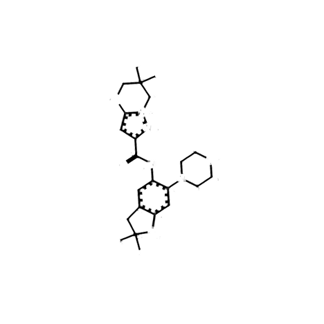 CC1(C)COc2cc(C(=O)Nc3cc4c(cc3N3CCOCC3)OC(C)(C)C4)nn2C1